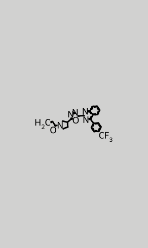 C=CC(=O)N1CCC(c2nnc(-c3nc(-c4ccc(C(F)(F)F)cc4)c4ccccc4n3)o2)C1